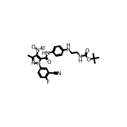 Cc1nn(-c2ccc(F)c(C#N)c2)c(C(=O)Nc2ccc(NCCNC(=O)OC(C)(C)C)cc2)c1[N+](=O)[O-]